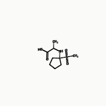 CC(NC1(S(C)(=O)=O)CCCC1)C(=O)O